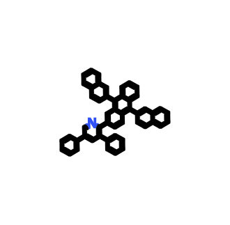 c1ccc(-c2cnc(-c3ccc4c(-c5ccc6ccccc6c5)c5ccccc5c(-c5ccc6ccccc6c5)c4c3)c(-c3ccccc3)c2)cc1